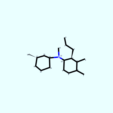 CCC[C@H]1C(C)C(C)CCC1N(C)C1CCC[C@H](C)C1